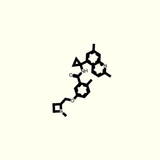 Cc1cc(C2(NC(=O)c3cc(OCC4CCN4C)ccc3C)CC2)c2ccc(C)nc2c1